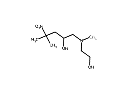 CN(CCO)CC(O)CC(C)(C)[N+](=O)[O-]